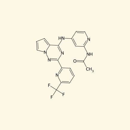 CC(=O)Nc1cc(Nc2nc(-c3cccc(C(F)(F)F)n3)nn3cccc23)ccn1